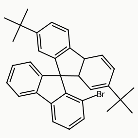 CC(C)(C)C1=CC2C(C=C1)c1ccc(C(C)(C)C)cc1C21c2ccccc2-c2cccc(Br)c21